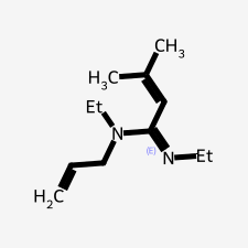 C=CCN(CC)/C(C=C(C)C)=N/CC